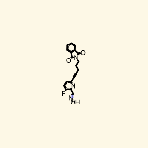 O=C1c2ccccc2C(=O)N1CCCC#Cc1ccc(F)c(/C=N/O)n1